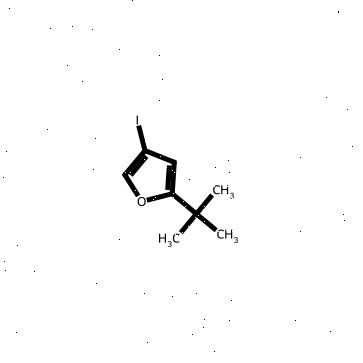 CC(C)(C)c1cc(I)co1